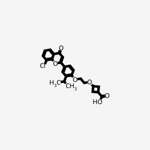 CC(C)c1cc(-c2cc(=O)c3cccc(Cl)c3o2)ccc1OCCOC1CC(C(=O)O)C1